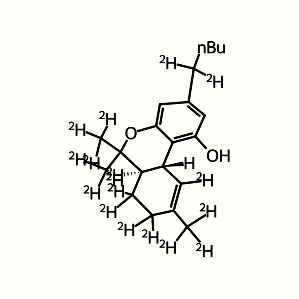 [2H]C1=C(C([2H])([2H])[2H])C([2H])([2H])C([2H])([2H])[C@]2([2H])[C@@H]1c1c(O)cc(C([2H])([2H])CCCC)cc1OC2(C([2H])([2H])[2H])C([2H])([2H])[2H]